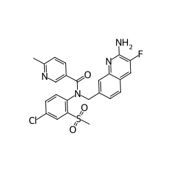 Cc1ccc(C(=O)N(Cc2ccc3cc(F)c(N)nc3c2)c2ccc(Cl)cc2S(C)(=O)=O)cn1